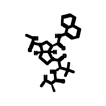 CNC(=O)N1C[C@H](C(=O)Nc2cccc3ccccc23)[C@@H]2[C@H]1CCN2C(=O)[C@@H](NC(=O)[C@H](C)NC)C(C)(C)C